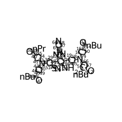 CCCCC(=O)c1ccc(N(c2ccc(C(=O)CCCC)cc2)c2ccc(-c3c(N)c(N=S)c(-c4ccc(N(c5ccc(C(=O)CCC)cc5)c5ccc(C(=O)CCCC)cc5)cc4)c4nn(-c5ccncc5)nc34)cc2)cc1